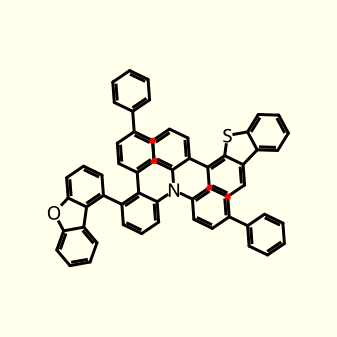 c1ccc(-c2ccc(-c3c(-c4cccc5oc6ccccc6c45)cccc3N(c3ccc(-c4ccccc4)cc3)c3ccccc3-c3cccc4c3sc3ccccc34)cc2)cc1